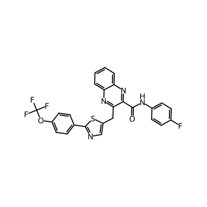 O=C(Nc1ccc(F)cc1)c1nc2ccccc2nc1Cc1cnc(-c2ccc(OC(F)(F)F)cc2)s1